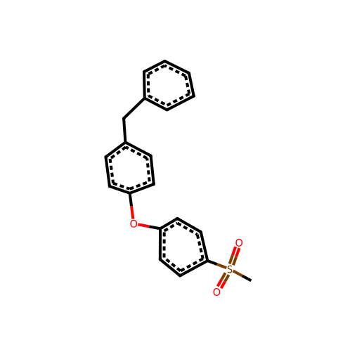 CS(=O)(=O)c1ccc(Oc2ccc(Cc3ccccc3)cc2)cc1